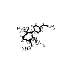 C=Cc1ccc(-c2c(OC)ccc(CO)c2OC)cc1